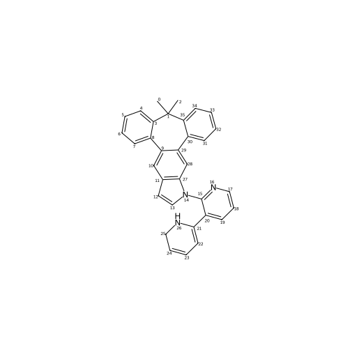 CC1(C)c2ccccc2-c2cc3ccn(-c4ncccc4C4=CC=CCN4)c3cc2-c2ccccc21